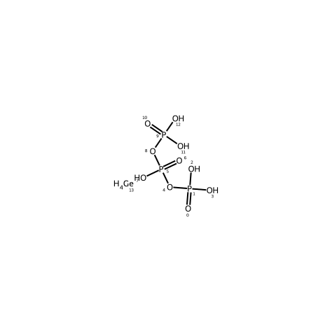 O=P(O)(O)OP(=O)(O)OP(=O)(O)O.[GeH4]